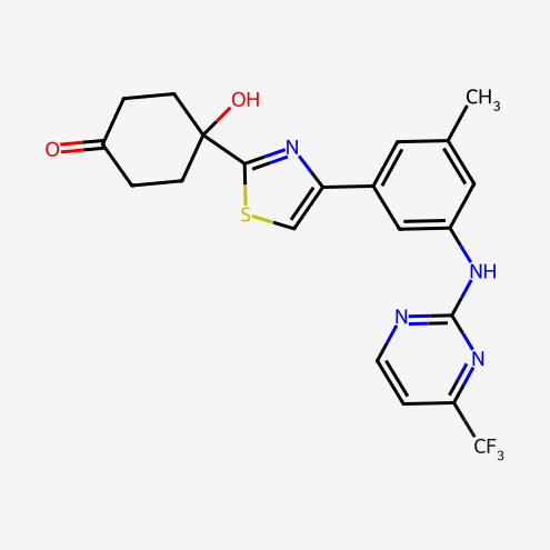 Cc1cc(Nc2nccc(C(F)(F)F)n2)cc(-c2csc(C3(O)CCC(=O)CC3)n2)c1